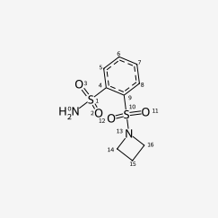 NS(=O)(=O)c1ccccc1S(=O)(=O)N1CCC1